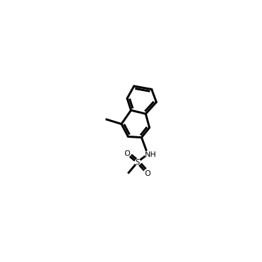 Cc1cc(NS(C)(=O)=O)cc2ccccc12